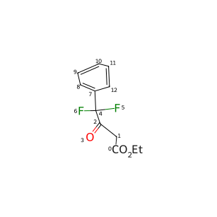 CCOC(=O)CC(=O)C(F)(F)c1ccccc1